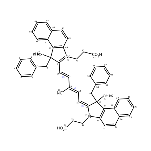 CCCCCCC1(Cc2ccccc2)C(/C=C/C(C#N)=C/C=C2/N(CCC(=O)O)c3ccc4ccccc4c3C2(CCCCCC)Cc2ccccc2)=[N+](CCC(=O)O)c2ccc3ccccc3c21